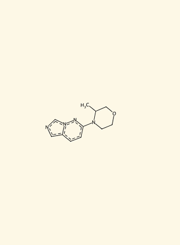 CC1COCCN1c1ccc2cncn2n1